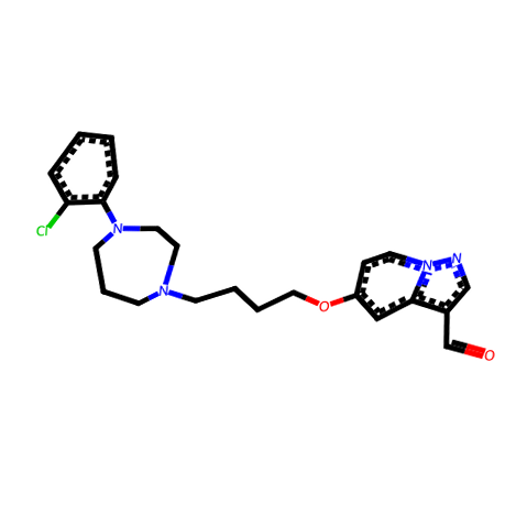 O=Cc1cnn2ccc(OCCCCN3CCCN(c4ccccc4Cl)CC3)cc12